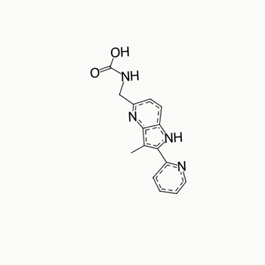 Cc1c(-c2ccccn2)[nH]c2ccc(CNC(=O)O)nc12